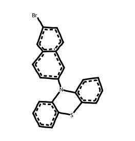 Brc1ccc2cc(N3c4ccccc4Sc4ccccc43)ccc2c1